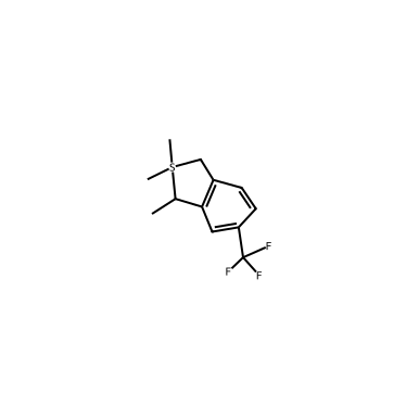 CC1c2cc(C(F)(F)F)ccc2CS1(C)C